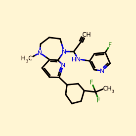 C#CC(Nc1cncc(F)c1)N1CCCN(C)c2ccc(C3CCCC(C(C)(F)F)C3)nc21